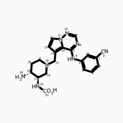 N#Cc1cccc(Nc2ncnn3ccc(CN4CC[C@@H](N)[C@H](NC(=O)O)C4)c23)c1